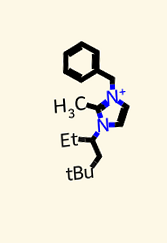 CCC(CC(C)(C)C)n1cc[n+](Cc2ccccc2)c1C